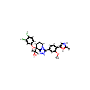 CCOc1cc(-c2nnc3n2CCCC3(Oc2ccc(F)c(F)c2)C(C)(C)O)ccc1-c1cnc(C)o1